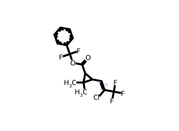 CC1(C)C(/C=C(\Cl)C(F)(F)F)C1C(=O)OC(F)(F)c1ccccc1